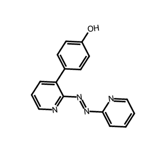 Oc1ccc(-c2cccnc2N=Nc2ccccn2)cc1